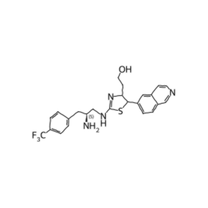 N[C@H](CNC1=NC(CCO)C(c2ccc3cnccc3c2)S1)Cc1ccc(C(F)(F)F)cc1